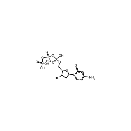 Nc1ccn([C@H]2CC(O)[C@@H](COP(=O)(O)OP(=O)(O)OP(=O)(O)O)S2)c(=O)n1